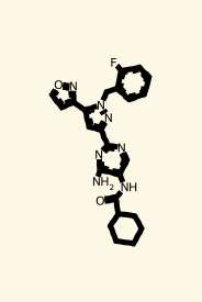 Nc1nc(-c2cc(-c3ccon3)n(Cc3ccccc3F)n2)ncc1NC(=O)C1CCCCC1